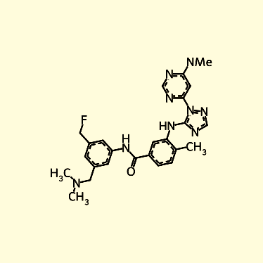 CNc1cc(-n2ncnc2Nc2cc(C(=O)Nc3cc(CF)cc(CN(C)C)c3)ccc2C)ncn1